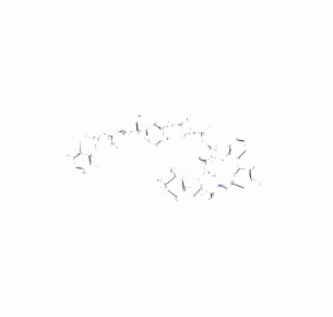 O=C1/C(=C/c2ccc(Cl)c(Cl)c2)CN(C(=O)C(Cc2ccccc2)NCC(=O)N2CC(Nc3cc(C(=O)NCC(O)CN4CCc5ccccc5C4)ncn3)C2)C/C1=C\c1ccc(Cl)c(Cl)c1